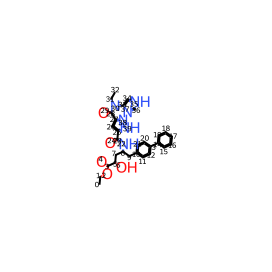 CCOC(=O)C(O)CC(Cc1ccc(-c2ccccc2)cc1)NC(=O)c1cc(C(=O)N(CC)c2c[nH]cn2)n[nH]1